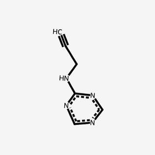 C#CCNc1ncncn1